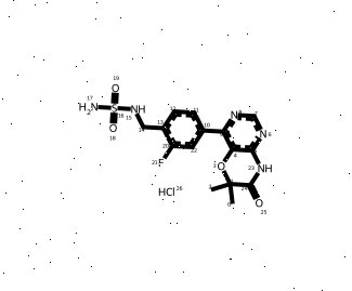 CC1(C)Oc2c(ncnc2-c2ccc(CNS(N)(=O)=O)c(F)c2)NC1=O.Cl